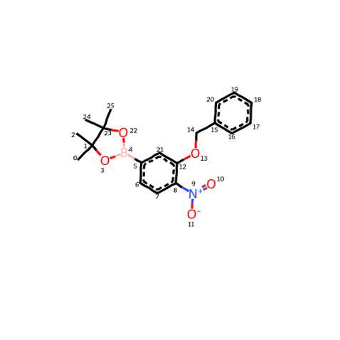 CC1(C)OB(c2ccc([N+](=O)[O-])c(OCc3ccccc3)c2)OC1(C)C